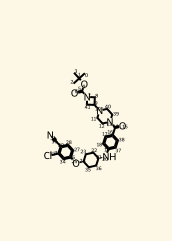 CC(C)(C)OC(=O)N1CC(N2CCN(C(=O)c3ccc(N[C@H]4CC[C@H](Oc5ccc(C#N)c(Cl)c5)CC4)cc3)CC2)C1